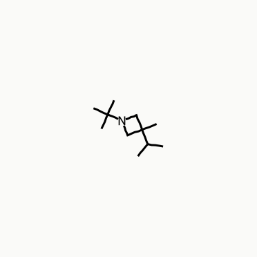 CC(C)C1(C)CN(C(C)(C)C)C1